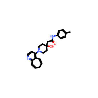 Cc1ccc(NC(=O)CC2(O)CCN(c3ccnc4c3C=CCC=C4)CC2)cc1